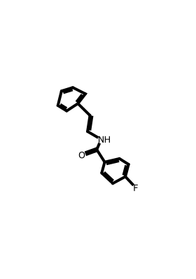 O=C(NC=Cc1ccccc1)c1ccc(F)cc1